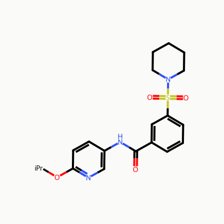 CC(C)Oc1ccc(NC(=O)c2cccc(S(=O)(=O)N3CCCCC3)c2)cn1